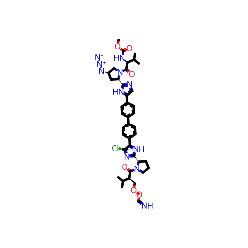 COC(=O)N[C@H](C(=O)N1C[C@@H](N=[N+]=[N-])C[C@H]1c1ncc(-c2ccc(-c3ccc(-c4[nH]c([C@@H]5CCCN5C(=O)[C@@H](COOC=N)C(C)C)nc4Cl)cc3)cc2)[nH]1)C(C)C